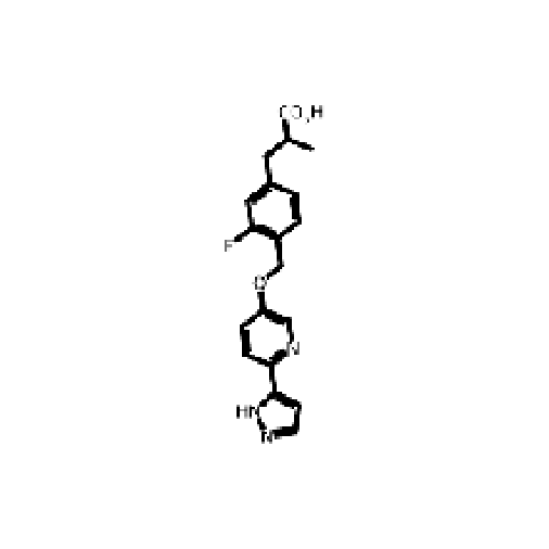 CC(Cc1ccc(COc2ccc(-c3ccn[nH]3)nc2)c(F)c1)C(=O)O